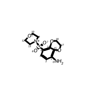 Nc1ccc(S(=O)(=O)N2CCOCC2)c2c1OCCO2